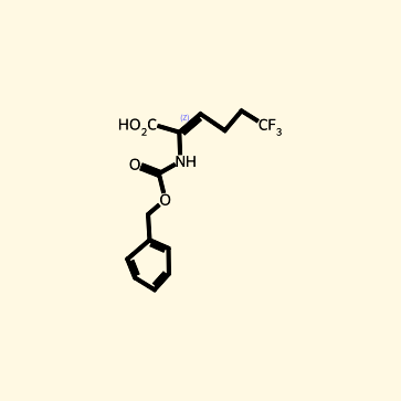 O=C(N/C(=C\CCC(F)(F)F)C(=O)O)OCc1ccccc1